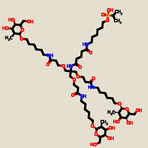 CC(C)P(=O)(O)OCCCCCCNC(=O)CCCC(=O)NC(COCCC(=O)NCCCCCCO[C@@H]1OC(CO)[C@H](O)C(O)[C@@H]1C)(COCCC(=O)NCCCCCCO[C@@H]1OC(CO)[C@H](O)C(O)[C@@H]1C)COCCC(=O)NCCCCCCO[C@@H]1OC(CO)[C@H](O)C(O)[C@@H]1C